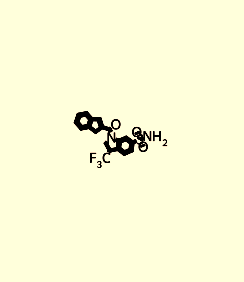 NS(=O)(=O)c1ccc2c(c1)N(C(=O)C1=Cc3ccccc3C1)CC2C(F)(F)F